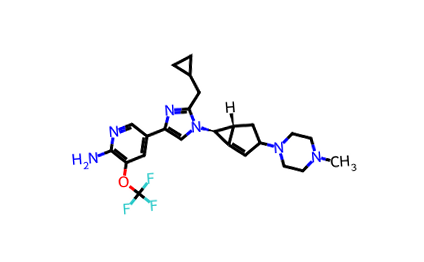 CN1CCN(C2C=C3[C@@H](C2)[C@@H]3n2cc(-c3cnc(N)c(OC(F)(F)F)c3)nc2CC2CC2)CC1